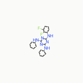 Fc1cccc(Nc2nc(Nc3ccccc3)nc(Nc3ccccc3)n2)c1F